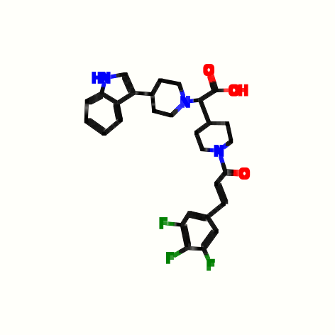 O=C(O)C(C1CCN(C(=O)/C=C/c2cc(F)c(F)c(F)c2)CC1)N1CCC(c2c[nH]c3ccccc23)CC1